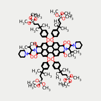 CO[Si](CCC(C)(C)c1ccc(Oc2cc3c4c(cc(Oc5ccc(C(C)(C)CC[Si](OC)(OC)OC)cc5)c5c6c(Oc7ccc(C(C)(C)CC[Si](OC)(OC)OC)cc7)cc7c8c(cc(Oc9ccc(C(C)(C)CC[Si](OC)(OC)OC)cc9)c(c2c45)c86)C(=O)N(C(C(=O)N2CCCCC2)C(C)C)C7=O)C(=O)N(C(C(=O)N2CCCCC2)C(C)C)C3=O)cc1)(OC)OC